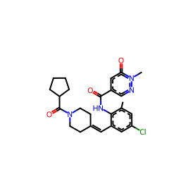 Cc1cc(Cl)cc(C=C2CCN(C(=O)C3CCCC3)CC2)c1NC(=O)c1cnn(C)c(=O)c1